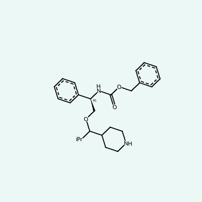 CC(C)C(OC[C@H](NC(=O)OCc1ccccc1)c1ccccc1)C1CCNCC1